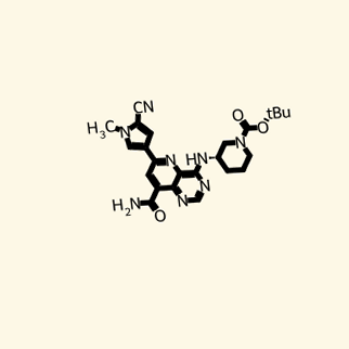 Cn1cc(-c2cc(C(N)=O)c3ncnc(N[C@H]4CCCN(C(=O)OC(C)(C)C)C4)c3n2)cc1C#N